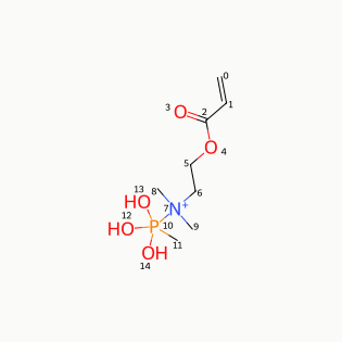 C=CC(=O)OCC[N+](C)(C)P(C)(O)(O)O